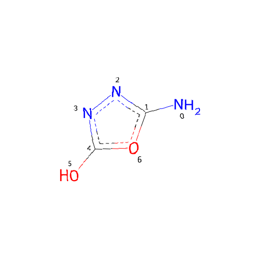 Nc1nnc(O)o1